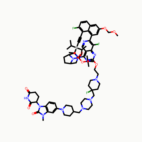 COCOc1cc(-c2ncc3c(N4CC5CCC(C4)N5C(=O)OC(C)(C)C)nc(OCCN4CCC(F)(CN5CCN(CC6CCN(c7ccc8c(c7)n(C)c(=O)n8C7CCC(=O)NC7=O)CC6)CC5)CC4)nc3c2F)c2c(C#C[Si](C(C)C)(C(C)C)C(C)C)c(F)ccc2c1